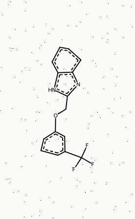 FC(F)(F)c1cccc(OCc2nc3ccccc3[nH]2)c1